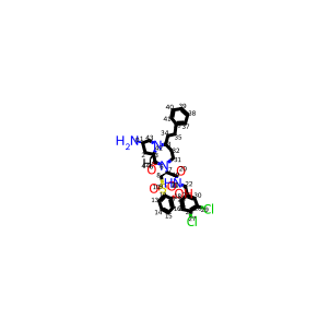 N[C@@H]1C[C@H]2C(=O)N([C@H](CS(=O)(=O)c3ccccc3O)C(=O)NCc3ccc(Cl)c(Cl)c3)CCC(CCc3ccccc3)N2C1